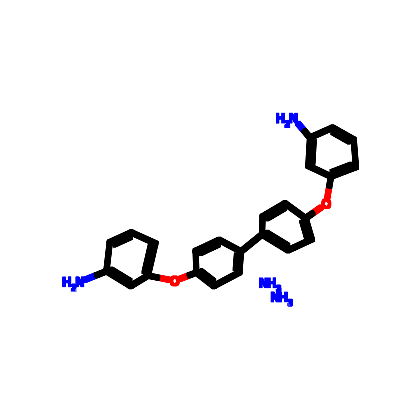 N.N.Nc1cccc(Oc2ccc(-c3ccc(Oc4cccc(N)c4)cc3)cc2)c1